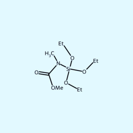 CCO[Si](OCC)(OCC)N(C)C(=O)OC